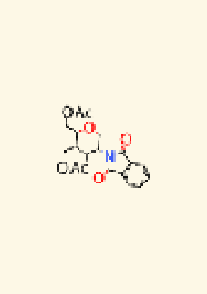 CC(=O)OC[C@H]1OC[C@H](N2C(=O)c3ccccc3C2=O)[C@@H](OC(C)=O)[C@H]1C